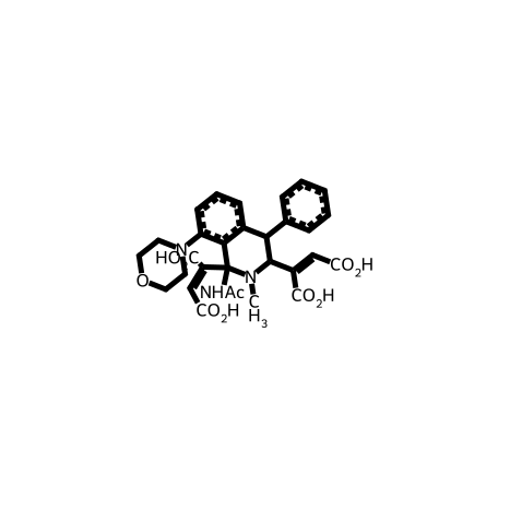 CC(=O)NC1(C(=CC(=O)O)C(=O)O)c2c(cccc2N2CCOCC2)C(c2ccccc2)C(C(=CC(=O)O)C(=O)O)N1C